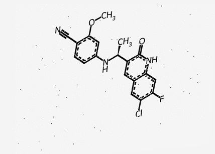 COc1cc(N[C@@H](C)c2cc3cc(Cl)c(F)cc3[nH]c2=O)ccc1C#N